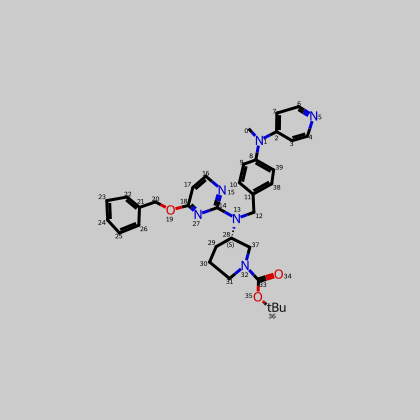 CN(c1ccncc1)c1ccc(CN(c2nccc(OCc3ccccc3)n2)[C@H]2CCCN(C(=O)OC(C)(C)C)C2)cc1